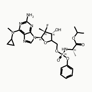 CC(C)OC(=O)[C@H](C)N[P@@](=O)(OCC1O[C@@H](n2cnc3c(N(C)C4CC4)nc(N)nc32)[C@](C)(F)[C@@H]1O)Oc1ccccc1